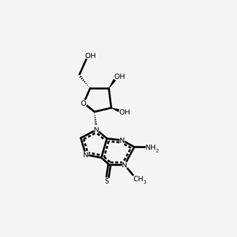 Cn1c(N)nc2c(ncn2[C@@H]2O[C@H](CO)[C@@H](O)[C@H]2O)c1=S